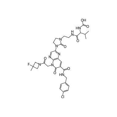 CC(C)C(NC(=O)O)C(=O)NCCN1CCN(c2cnc3c(cc(C(=O)NCc4ccc(Cl)cc4)c(=O)n3CC(=O)N3CC(C)(F)C3)n2)C1=O